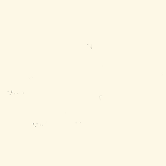 COC(=O)CCC(C#N)(CCC(=O)OC)c1ccc(Cl)cc1F